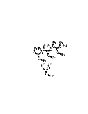 CC(C)OP(OC(C)C)OC(C)C.CC(C)OP(OC(C)C)OC(C)C.CC(C)OP(OC(C)C)OC(C)C.CC(C)OP(OC(C)C)OC(C)C.[Pd]